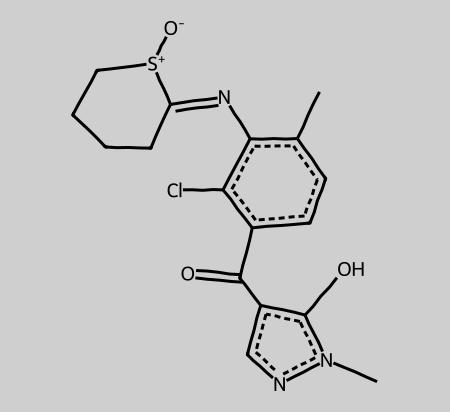 Cc1ccc(C(=O)c2cnn(C)c2O)c(Cl)c1N=C1CCCC[S+]1[O-]